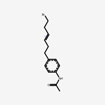 CC(=O)Nc1ccc(CC/C=C/CCBr)cc1